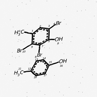 Cc1cc(Br)c(O)c(Br)c1Br.Cc1ccc(O)cc1